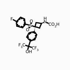 O=C(O)N[C@H]1C[C@@](c2ccc(C(O)(C(F)(F)F)C(F)(F)F)cc2)(S(=O)(=O)c2ccc(F)cc2)C1